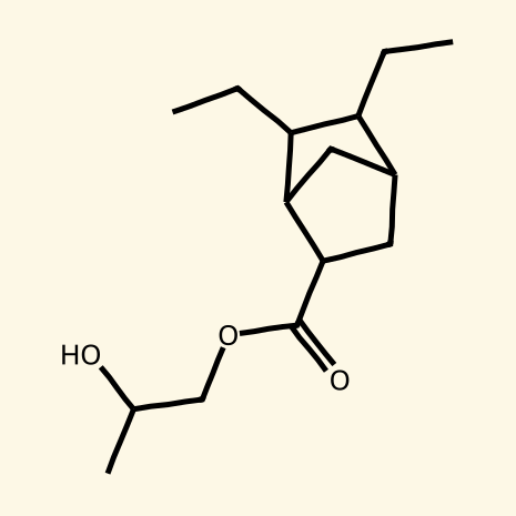 CCC1C2CC(C(=O)OCC(C)O)C(C2)C1CC